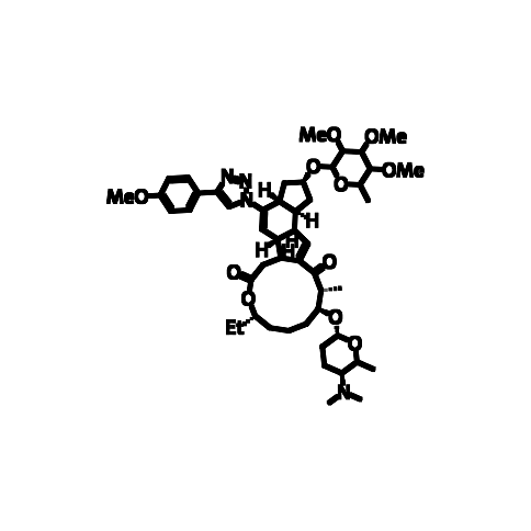 CC[C@H]1CCC[C@H](O[C@H]2CC[C@H](N(C)C)C(C)O2)[C@@H](C)C(=O)C2=C[C@@H]3[C@@H](C=C(n4cc(-c5ccc(OC)cc5)nn4)[C@@H]4C[C@@H](OC5OC(C)C(OC)C(OC)C5OC)C[C@@H]34)[C@@H]2CC(=O)O1